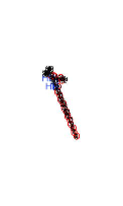 COCCOCCOCCOCCOCCOCCOCCOCCOCCOCCOCCOCCC(=O)NCCCC[C@H](NC(=O)OCC1c2ccccc2-c2ccccc21)C(=O)NCCC(=O)OC(C)(C)C